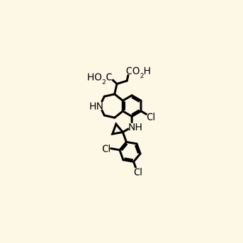 O=C(O)CC(C(=O)O)C1CNCCc2c1ccc(Cl)c2NC1(c2ccc(Cl)cc2Cl)CC1